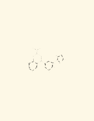 CN(C)C1Cc2ccccc2C(c2cccc(-c3ccco3)c2)C1